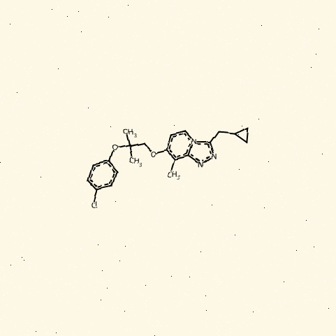 Cc1c(OCC(C)(C)Oc2ccc(Cl)cc2)ccn2c(CC3CC3)nnc12